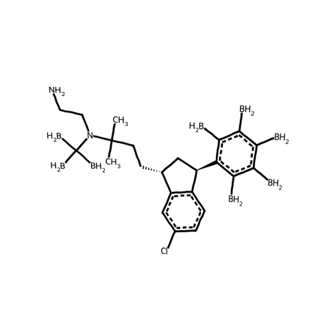 Bc1c(B)c(B)c([C@@H]2C[C@@H](CCC(C)(C)N(CCN)C(B)(B)B)c3cc(Cl)ccc32)c(B)c1B